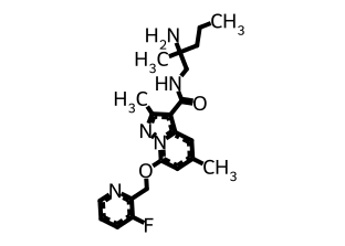 CCCC(C)(N)CNC(=O)c1c(C)nn2c(OCc3ncccc3F)cc(C)cc12